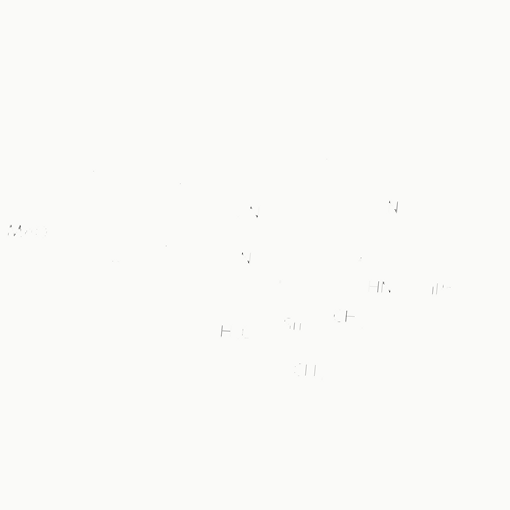 COc1ccc(Cn2n[c]([Sn]([CH3])([CH3])[CH3])c3c(NC(C)C)nccc32)cc1